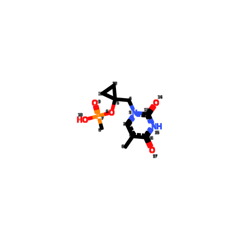 Cc1cn(CC2(OP(C)(=O)O)CC2)c(=O)[nH]c1=O